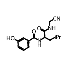 CC(C)CC(NC(=O)c1cccc(O)c1)C(=O)NCC#N